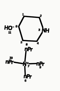 C1CCNCC1.CCC[N+](CCC)(CCC)CCC.[OH-]